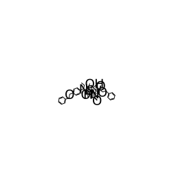 CCN(C(=O)[S@]1(CO)[C@@H]2CC(=O)N2[C@@H](C(=O)OCc2ccccc2)C1(C)C)c1ccc(OCc2ccccc2)cc1